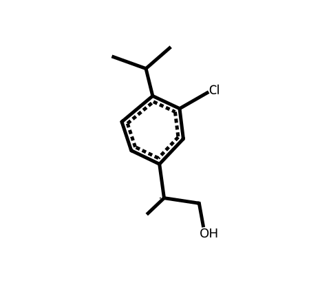 C[C](CO)c1ccc(C(C)C)c(Cl)c1